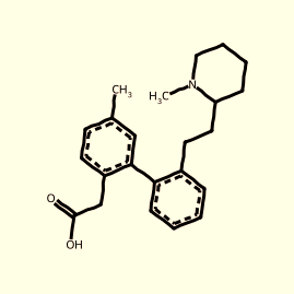 Cc1ccc(CC(=O)O)c(-c2ccccc2CCC2CCCCN2C)c1